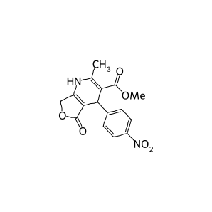 COC(=O)C1=C(C)NC2=C(C(=O)OC2)C1c1ccc([N+](=O)[O-])cc1